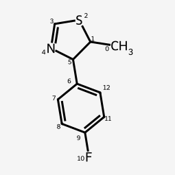 CC1SC=NC1c1ccc(F)cc1